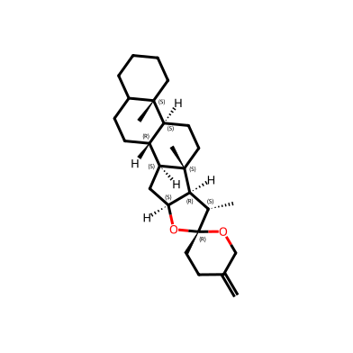 C=C1CC[C@@]2(OC1)O[C@H]1C[C@H]3[C@@H]4CCC5CCCC[C@]5(C)[C@H]4CC[C@]3(C)[C@H]1[C@@H]2C